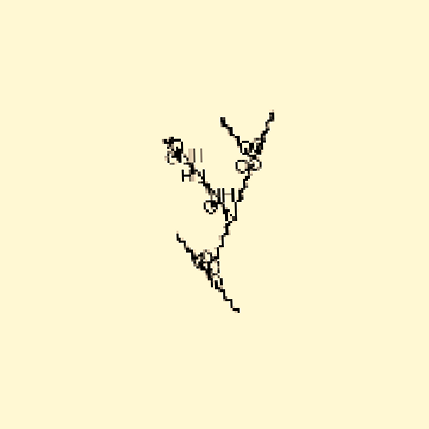 CCCCCCOCC(COCCCCCC)OC(=O)CCCCCCCN(CCCCCCCC(=O)OC(COCCCCCC)COCCCCCC)CCC(=O)NCCCNCCCNC(=O)OC(C)(C)C